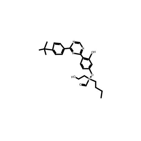 CCCC[N+](C=O)(CCO)Oc1ccc(-c2ncnc(-c3ccc(C(C)(C)C)cc3)n2)c(O)c1